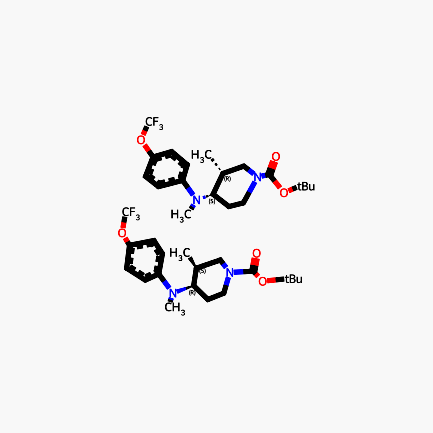 C[C@@H]1CN(C(=O)OC(C)(C)C)CC[C@@H]1N(C)c1ccc(OC(F)(F)F)cc1.C[C@H]1CN(C(=O)OC(C)(C)C)CC[C@H]1N(C)c1ccc(OC(F)(F)F)cc1